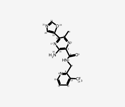 Cc1nc(C(=O)NCc2ncccc2C(F)(F)F)c(N)nc1-c1cnco1